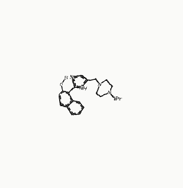 CCOc1ccc2ccccc2c1-c1ncc(CN2CCN(C(C)C)CC2)[nH]1